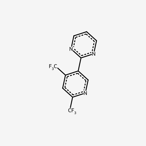 FC(F)(F)c1cc(C(F)(F)F)c(-c2ncccn2)cn1